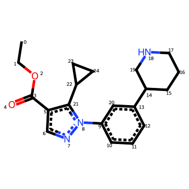 CCOC(=O)c1cnn(-c2cccc(C3CCCNC3)c2)c1C1CC1